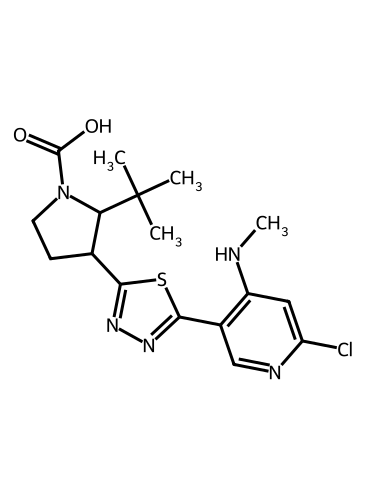 CNc1cc(Cl)ncc1-c1nnc(C2CCN(C(=O)O)C2C(C)(C)C)s1